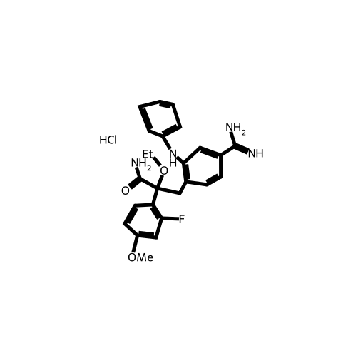 CCOC(Cc1ccc(C(=N)N)cc1Nc1ccccc1)(C(N)=O)c1ccc(OC)cc1F.Cl